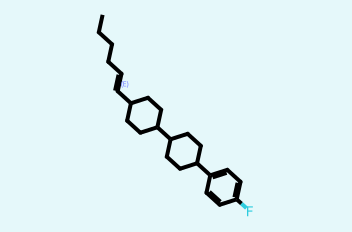 CCCC/C=C/C1CCC(C2CCC(c3ccc(F)cc3)CC2)CC1